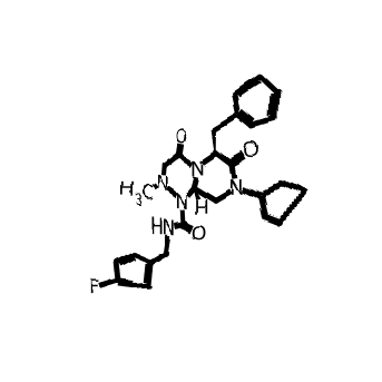 CN1CC(=O)N2[C@@H](Cc3ccccc3)C(=O)N(C3CCCC3)C[C@@H]2N1C(=O)NCc1ccc(F)cc1